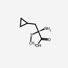 CS[C@](N)(CC1CC1)C(=O)O